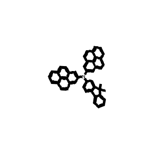 CC1(C)c2ccccc2-c2ccc(N(c3cc4ccc5cccc6ccc(c3)c4c56)c3cc4ccc5cccc6ccc(c3)c4c56)cc21